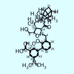 COc1c(CN2O[C@@H](CO)[C@@H]([C@H](C)O)[C@H]2C(=O)N[C@H]2C[C@H]3C[C@@H]([C@@H]2C)C3(C)C)cccc1-c1cc(C(=O)O)cc(N(C)C)c1